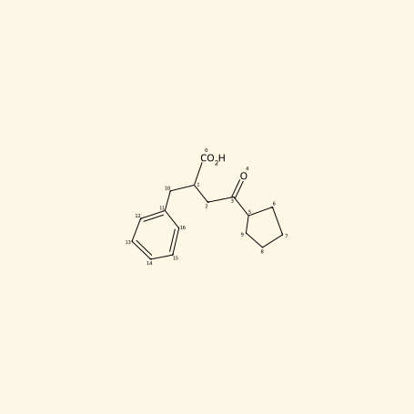 O=C(O)C(CC(=O)C1CCCC1)Cc1ccccc1